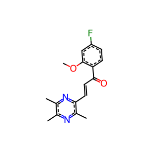 COc1cc(F)ccc1C(=O)/C=C/c1nc(C)c(C)nc1C